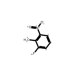 Cc1c([N+](=O)[O-])[c]ccc1F